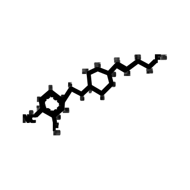 N#Cc1ccc(CCC2CCC(C=CCCF)CC2)cc1F